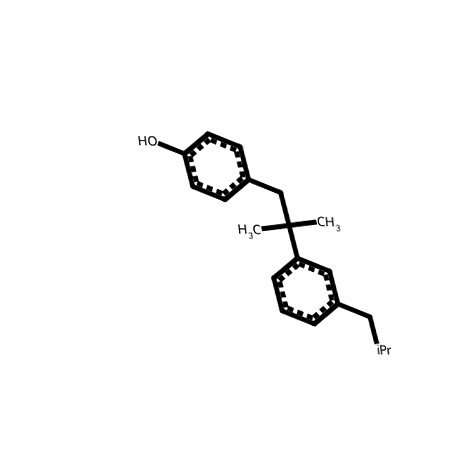 CC(C)Cc1cccc(C(C)(C)Cc2ccc(O)cc2)c1